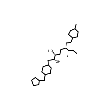 CC[C@H](C)[C@H](CCC1CCC(C)CC1)CC[C@H](O)[C@@H](O)CC1CCC(CC2CCCC2)CC1